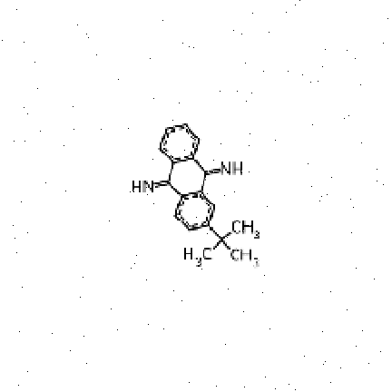 CC(C)(C)c1ccc2c(c1)C(=N)c1ccccc1C2=N